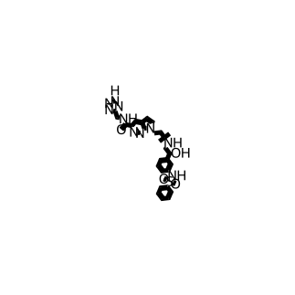 CC(C)(CCn1ccc2cc(C(=O)NCc3nn[nH]n3)nnc21)NC[C@H](O)c1cccc(NS(=O)(=O)c2ccccc2)c1